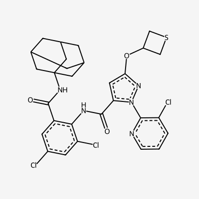 O=C(NC12CC3CC(CC(C3)C1)C2)c1cc(Cl)cc(Cl)c1NC(=O)c1cc(OC2CSC2)nn1-c1ncccc1Cl